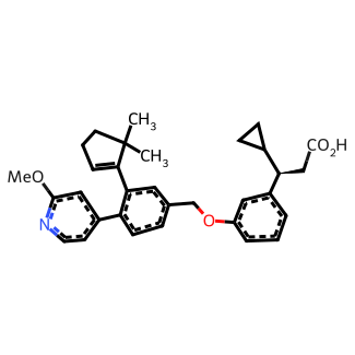 COc1cc(-c2ccc(COc3cccc([C@H](CC(=O)O)C4CC4)c3)cc2C2=CCCC2(C)C)ccn1